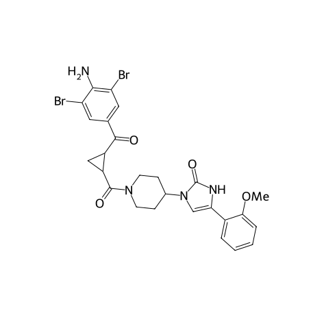 COc1ccccc1-c1cn(C2CCN(C(=O)C3CC3C(=O)c3cc(Br)c(N)c(Br)c3)CC2)c(=O)[nH]1